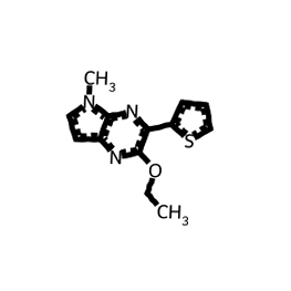 CCOc1nc2ccn(C)c2nc1-c1cccs1